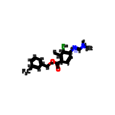 CCN(C)/C=N/c1ccc(C(=O)OCc2cccc(C(F)(F)F)c2)c(C)c1F